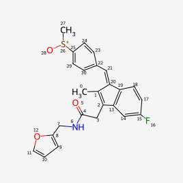 CC1=C(CC(=O)NCc2ccco2)c2cc(F)ccc2C1=Cc1ccc([S+](C)[O-])cc1